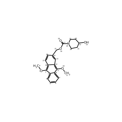 COc1c2ccccc2c(OC)c2cc(COC(=O)N3CCC(O)CC3)ccc12